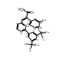 NC(=O)/C(=C/c1ccnc(-c2cc(C(F)(F)F)cc(C(F)(F)F)c2)n1)c1cncc(F)c1